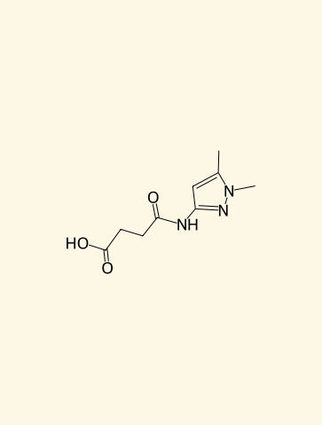 Cc1cc(NC(=O)CCC(=O)O)nn1C